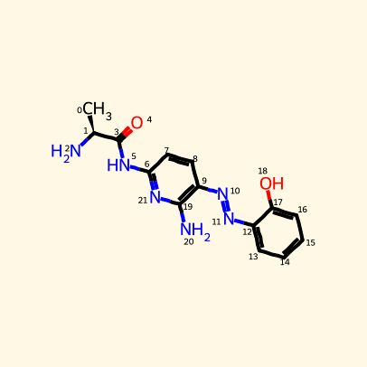 C[C@H](N)C(=O)Nc1ccc(/N=N/c2ccccc2O)c(N)n1